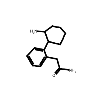 NC(=O)Cc1ccccc1C1CCCCC1N